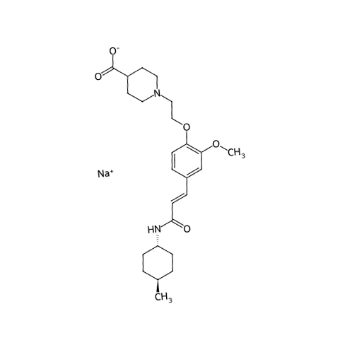 COc1cc(C=CC(=O)N[C@H]2CC[C@H](C)CC2)ccc1OCCN1CCC(C(=O)[O-])CC1.[Na+]